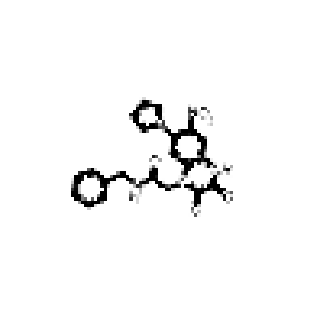 O=C(Cn1c(=O)c(=O)[nH]c2cc([N+](=O)[O-])c(-n3cccc3)cc21)NCc1ccccc1